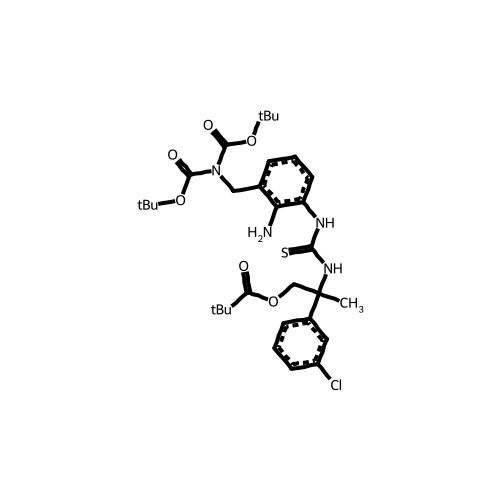 CC(C)(C)OC(=O)N(Cc1cccc(NC(=S)NC(C)(COC(=O)C(C)(C)C)c2cccc(Cl)c2)c1N)C(=O)OC(C)(C)C